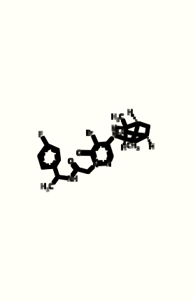 CC(NC(=O)Cn1ncc(N[C@@H]2C[C@@H]3C[C@H]([C@H]2C)C3(C)C)c(Br)c1=O)c1ccc(F)cc1